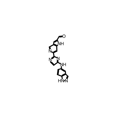 O=Cc1cc2cnc(-c3nccc(Nc4ccc5[nH]ncc5c4)n3)cc2[nH]1